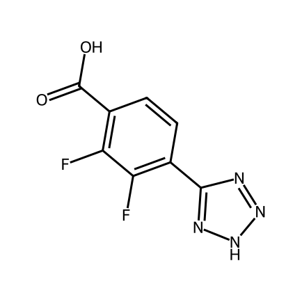 O=C(O)c1ccc(-c2nn[nH]n2)c(F)c1F